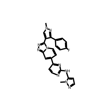 Cn1cc(-c2nnc3cc(-c4ccnc(Nc5ccnn5C)n4)ccn23)c(-c2ccc(F)cc2)n1